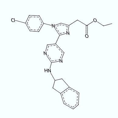 CCOC(=O)Cc1cn(-c2ccc(Cl)cc2)c(-c2cnc(NC3Cc4ccccc4C3)nc2)n1